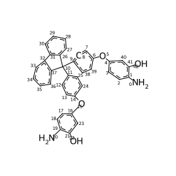 Nc1ccc(Oc2ccc(C3(c4ccc(Oc5ccc(N)c(O)c5)cc4)c4ccccc4-c4ccccc43)cc2)cc1O